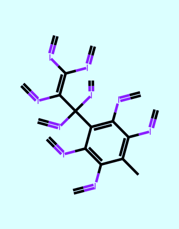 C=IC(I=C)=C(I=C)C(I=C)(I=C)c1c(I=C)c(I=C)c(C)c(I=C)c1I=C